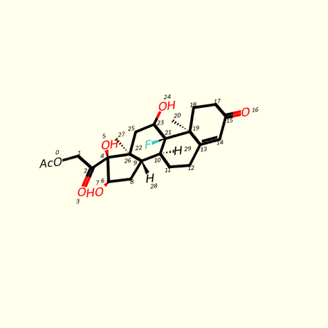 CC(=O)OCC(=O)[C@@]1(O)[C@H](O)C[C@H]2[C@@H]3CCC4=CC(=O)CC[C@]4(C)[C@@]3(F)C(O)C[C@@]21C